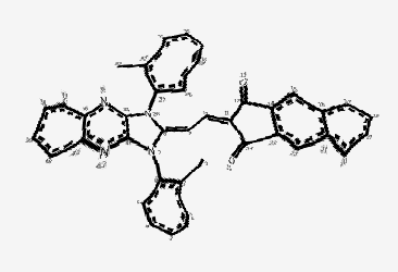 Cc1ccccc1N1C(=CC=C2C(=O)c3cc4ccccc4cc3C2=O)N(c2ccccc2C)c2nc3ccccc3nc21